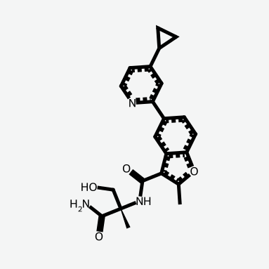 Cc1oc2ccc(-c3cc(C4CC4)ccn3)cc2c1C(=O)N[C@@](C)(CO)C(N)=O